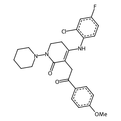 COc1ccc(C(=O)CC2=C(Nc3ccc(F)cc3Cl)CCN(N3CCCCC3)C2=O)cc1